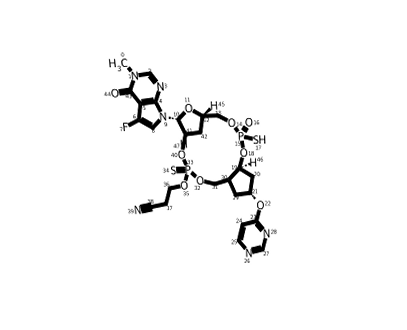 Cn1cnc2c(c(F)cn2[C@@H]2O[C@@H]3COP(=O)(S)O[C@H]4C[C@H](Oc5ccncn5)CC4COP(=S)(OCCC#N)O[C@@H]2C3)c1=O